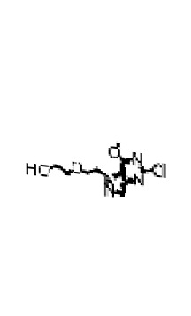 COc1nc(Cl)nc2cnn(CCOCCO)c12